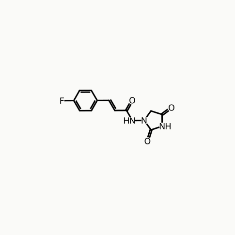 O=C(/C=C/c1ccc(F)cc1)NN1CC(=O)NC1=O